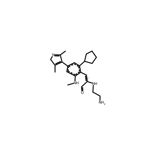 CNc1cc(C2=C(C)CN=C2C)cc(C2CCCC2)c1/C=C(\C=O)NCCN